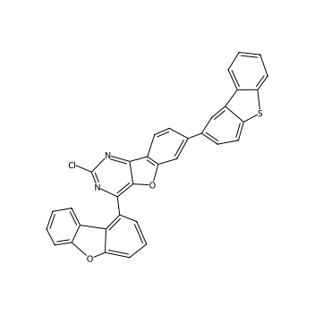 Clc1nc(-c2cccc3oc4ccccc4c23)c2oc3cc(-c4ccc5sc6ccccc6c5c4)ccc3c2n1